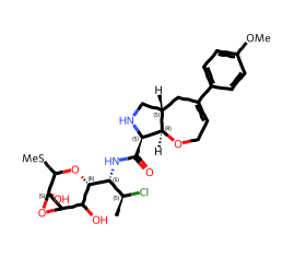 COc1ccc(C2=CCO[C@@H]3[C@H](CN[C@@H]3C(=O)N[C@H]([C@H](C)Cl)[C@H]3OC(SC)[C@@]4(O)OC4C3O)C2)cc1